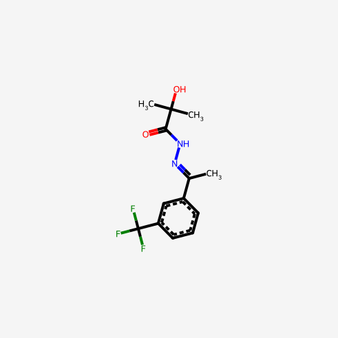 CC(=NNC(=O)C(C)(C)O)c1cccc(C(F)(F)F)c1